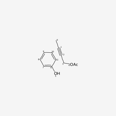 CC#CCOC(C)=O.Oc1ccccc1